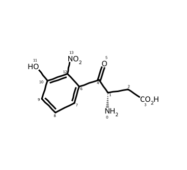 N[C@@H](CC(=O)O)C(=O)c1cccc(O)c1[N+](=O)[O-]